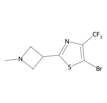 CN1CC(c2nc(C(F)(F)F)c(Br)s2)C1